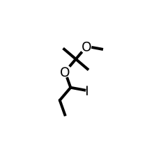 CCC(I)OC(C)(C)OC